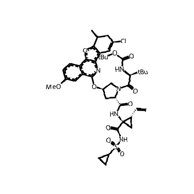 C=C[C@@H]1C[C@]1(NC(=O)[C@@H]1C[C@@H](Oc2nc3c4c(oc3c3ccc(OC)cc23)C(C)CC(Cl)=C4)CN1C(=O)[C@@H](NC(=O)OC(C)(C)C)C(C)(C)C)C(=O)NS(=O)(=O)C1CC1